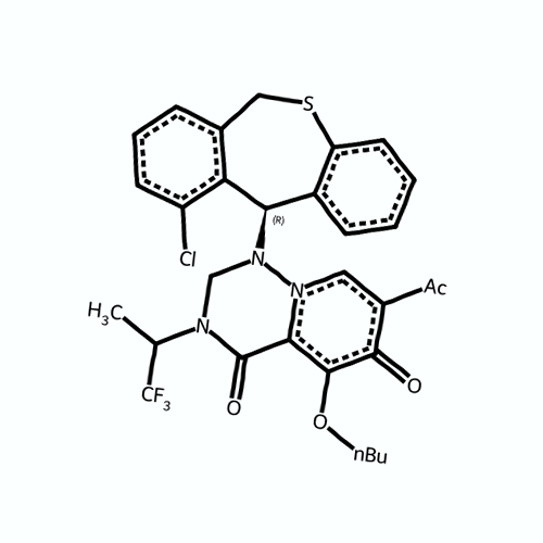 CCCCOc1c2n(cc(C(C)=O)c1=O)N([C@@H]1c3ccccc3SCc3cccc(Cl)c31)CN(C(C)C(F)(F)F)C2=O